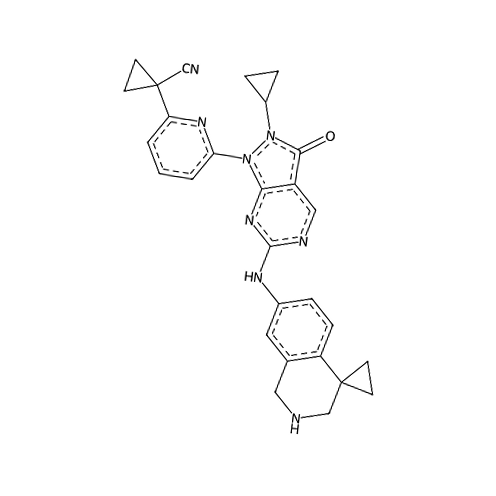 N#CC1(c2cccc(-n3c4nc(Nc5ccc6c(c5)CNCC65CC5)ncc4c(=O)n3C3CC3)n2)CC1